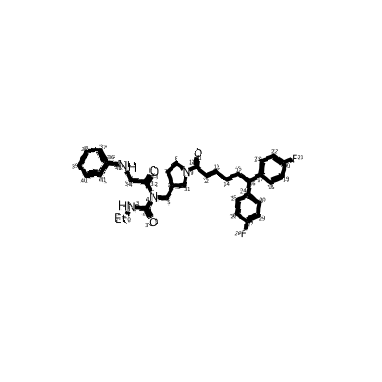 CCNC(=O)N(CC1CCN(C(=O)CCCCC(c2ccc(F)cc2)c2ccc(F)cc2)C1)C(=O)CNc1ccccc1